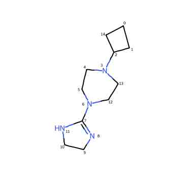 C1CC(N2CCN(C3=NCCN3)CC2)C1